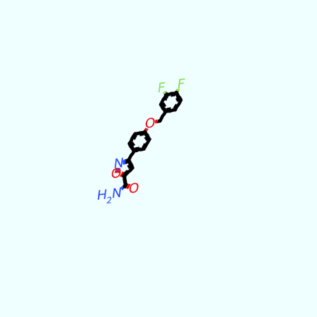 NC(=O)c1cc(-c2ccc(OCc3ccc(F)c(F)c3)cc2)no1